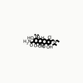 CCN(Cc1cc(O)c2c(c1Cl)C[C@H]1C[C@H]3[C@H](N(C)C)C(O)=C(C(N)=O)C(=O)[C@@]3(O)C(O)=C1C2=O)C(C)C